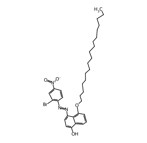 CCCCCCCCCCCCCCCCCCOc1cccc2c(O)ccc(N=Nc3ccc([N+](=O)[O-])cc3Br)c12